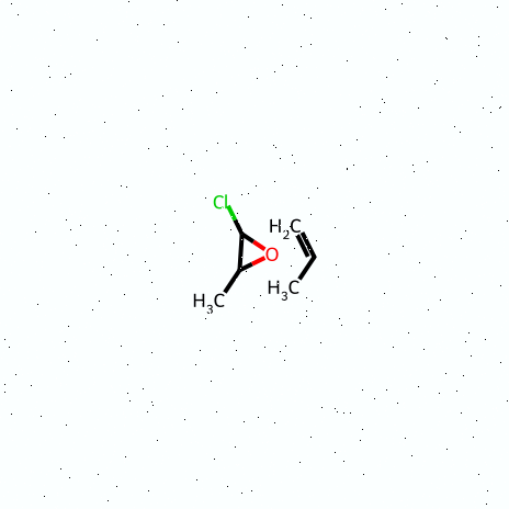 C=CC.CC1OC1Cl